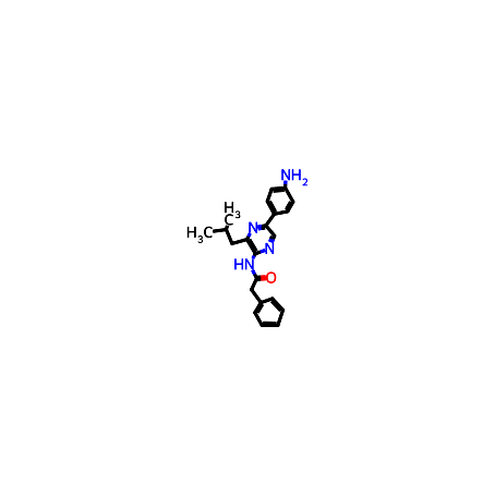 CC(C)Cc1nc(-c2ccc(N)cc2)cnc1NC(=O)Cc1ccccc1